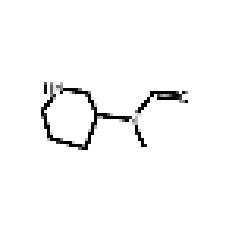 CN([C]=O)C1CCCNC1